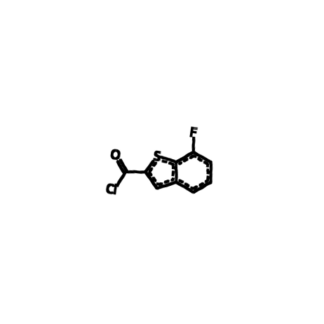 O=C(Cl)c1cc2cccc(F)c2s1